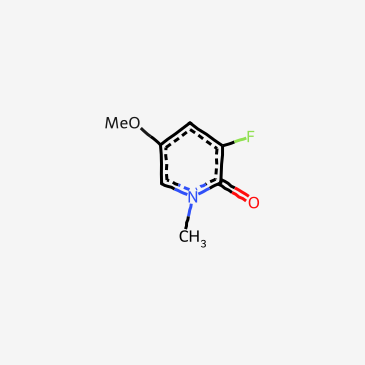 COc1cc(F)c(=O)n(C)c1